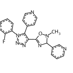 CN1OC(c2nnn(-c3ccccc3F)c2-c2ccncc2)=NC1c1cccnc1